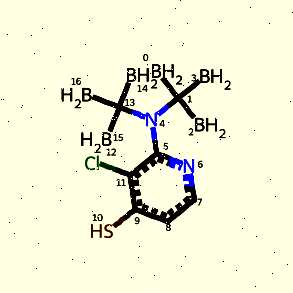 BC(B)(B)N(c1nccc(S)c1Cl)C(B)(B)B